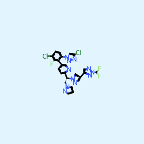 Fc1c(Cl)ccc(-n2cc(Cl)nn2)c1-c1ccc([C@@H](Cn2cccn2)n2cc(-c3cnn(C(F)F)n3)cn2)nc1